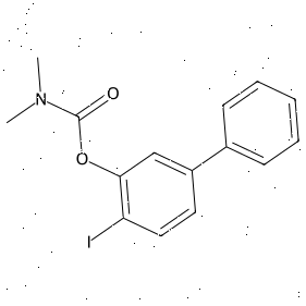 CN(C)C(=O)Oc1cc(-c2ccccc2)ccc1I